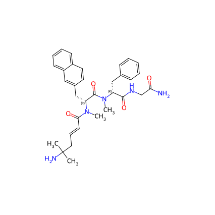 CN(C(=O)C=CCC(C)(C)N)[C@H](Cc1ccc2ccccc2c1)C(=O)N(C)[C@H](Cc1ccccc1)C(=O)NCC(N)=O